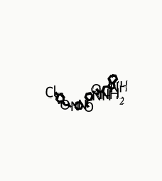 NC(=Cc1c[nH]c2ccccc12)C(=O)Nc1cccc(C(=O)N2CCN(CCOc3ccc(Cl)cc3)CC2)c1